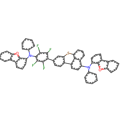 Fc1c(F)c(N(c2ccccc2)c2cccc3c2oc2ccccc23)c(F)c(F)c1-c1ccc2c(c1)Sc1cccc3c(N(c4ccccc4)c4cccc5c4oc4ccccc45)ccc-2c13